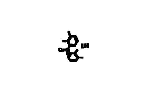 Cc1cccc([SiH]([Cu])c2cccc(C)c2C)c1C.[LiH]